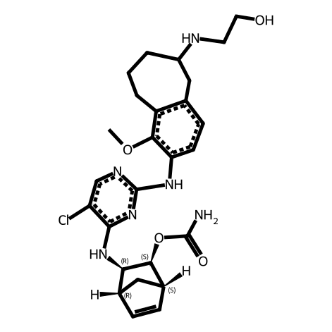 COc1c(Nc2ncc(Cl)c(N[C@H]3[C@@H](OC(N)=O)[C@@H]4C=C[C@H]3C4)n2)ccc2c1CCCC(NCCO)C2